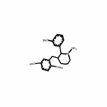 COc1cccc(C2C(Cc3cc(OC)ccc3OC)CCCN2N)c1